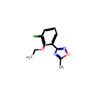 CCOc1c(F)cccc1-c1noc(C)n1